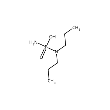 CCCN(CCC)P(N)(=O)O